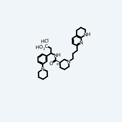 Cl.O=C(O)CC(NC(=O)[C@@H]1CCCN(CCCc2ccc3c(n2)NCCC3)C1)c1cccc(N2CCCCC2)c1